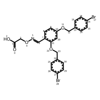 O=C(O)CON=Cc1ccc(OCc2ccc(Br)cc2)cc1OCc1ccc(Br)cc1